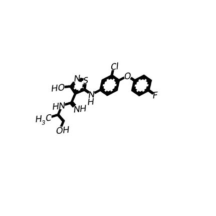 CC(CO)NC(=N)c1c(O)nsc1Nc1ccc(Oc2ccc(F)cc2)c(Cl)c1